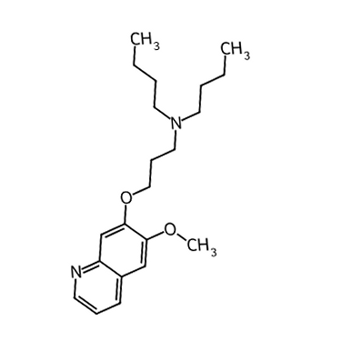 CCCCN(CCCC)CCCOc1cc2ncccc2cc1OC